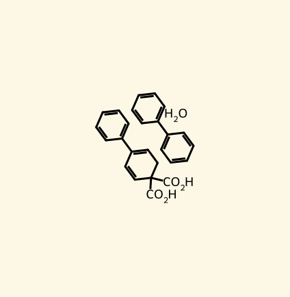 O.O=C(O)C1(C(=O)O)C=CC(c2ccccc2)=CC1.c1ccc(-c2ccccc2)cc1